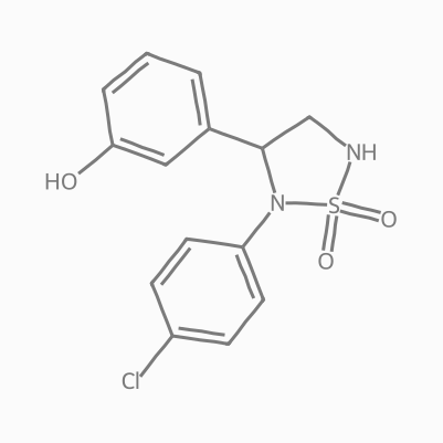 O=S1(=O)NCC(c2cccc(O)c2)N1c1ccc(Cl)cc1